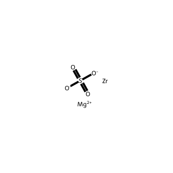 O=S(=O)([O-])[O-].[Mg+2].[Zr]